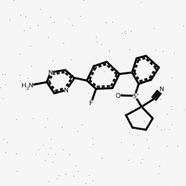 N#CC1([S+]([O-])c2ccccc2-c2ccc(-c3cnc(N)cn3)c(F)c2)CCCC1